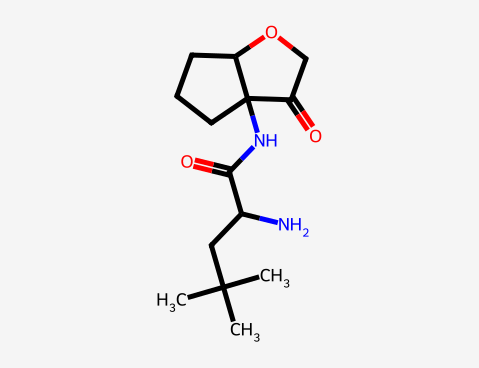 CC(C)(C)CC(N)C(=O)NC12CCCC1OCC2=O